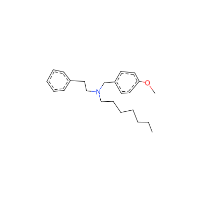 CCCCCCCN(CCc1ccccc1)Cc1ccc(OC)cc1